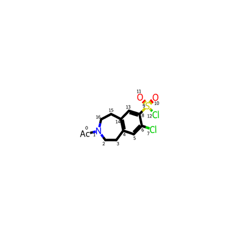 CC(=O)N1CCc2cc(Cl)c(S(=O)(=O)Cl)cc2CC1